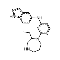 CCC1CNCCCN1c1nccc(Nc2ccc3[nH]ncc3c2)n1